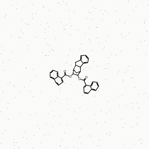 O=C(OC1C2CC(C1OC(=O)c1cccc3ccccc13)C1c3ccccc3CC21)c1cccc2ccccc12